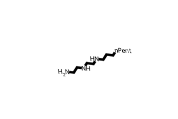 CCCCCCCCNCCNCCN